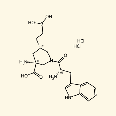 Cl.Cl.N[C@@H](Cc1c[nH]c2ccccc12)C(=O)N1C[C@@H](CCB(O)O)C[C@](N)(C(=O)O)C1